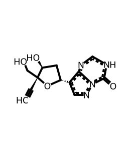 C#C[C@]1(CO)O[C@@H](c2cnn3c(=O)[nH]cnc23)C[C@@H]1O